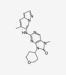 Cc1cc2ccnn2cc1Nc1ncc2c(n1)n(C1CCOCC1)c(=O)n2C